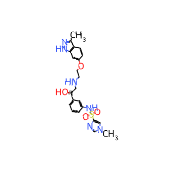 Cc1n[nH]c2cc(OCCNC[C@H](O)c3cccc(NS(=O)(=O)c4cn(C)cn4)c3)ccc12